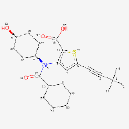 CC(C)(C)C#Cc1cc(N(C(=O)C2CCCCC2)[C@H]2CC[C@@H](O)CC2)c(C(=O)O)s1